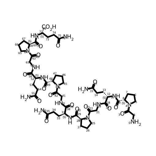 NCC(=O)N1CCC[C@H]1C(=O)N[C@@H](CCC(N)=O)C(=O)NCC(=O)N1CCC[C@H]1C(=O)N[C@@H](CCC(N)=O)C(=O)NCC(=O)N1CCC[C@H]1C(=O)N[C@@H](CCC(N)=O)C(=O)NCC(=O)N1CCC[C@H]1C(=O)N[C@@H](CCC(N)=O)C(=O)O